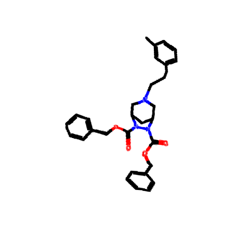 Cc1cccc(CCN2CC3CC(C2)N(C(=O)OCc2ccccc2)N3C(=O)OCc2ccccc2)c1